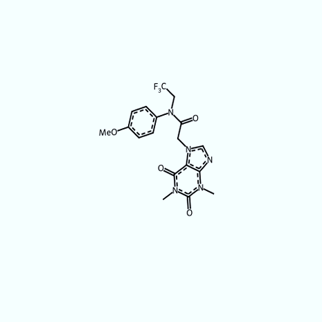 COc1ccc(N(CC(F)(F)F)C(=O)Cn2cnc3c2c(=O)n(C)c(=O)n3C)cc1